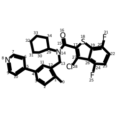 Cc1ccc(-c2ccncc2)cc1CN(C(=O)c1sc2c(F)ccc(F)c2c1Cl)C1CCCCC1